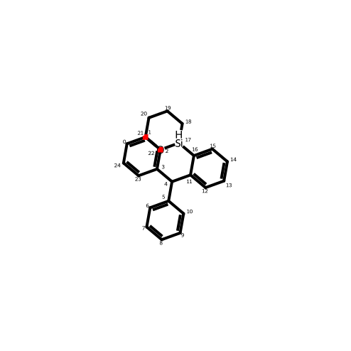 c1ccc(C(c2ccccc2)c2ccccc2[SiH]2CCCCO2)cc1